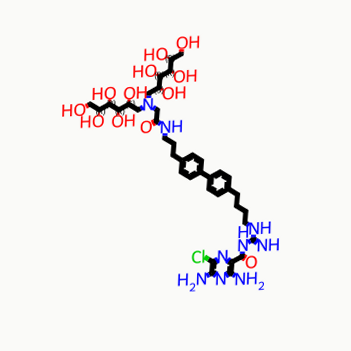 N=C(NCCCCc1ccc(-c2ccc(CCCNC(=O)CN(C[C@H](O)[C@@H](O)[C@H](O)[C@H](O)CO)C[C@H](O)[C@@H](O)[C@H](O)[C@H](O)CO)cc2)cc1)NC(=O)c1nc(Cl)c(N)nc1N